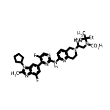 CCC(C)(C)N(CC(O)N1CCc2nc(Nc3ncc(F)c(-c4cc(F)c5nc(C)n(C6CCCC6)c5c4)n3)ccc2C1)C(=O)O